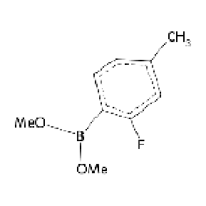 COB(OC)c1ccc(C)cc1F